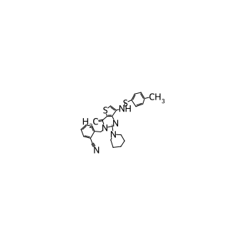 C=C1c2scc(NSc3ccc(C)cc3)c2N=C(N2CCCCC2)N1Cc1ccccc1C#N